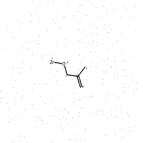 C=C(C)C[O][Zr]